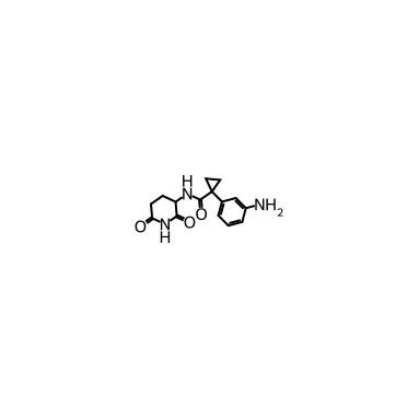 Nc1cccc(C2(C(=O)NC3CCC(=O)NC3=O)CC2)c1